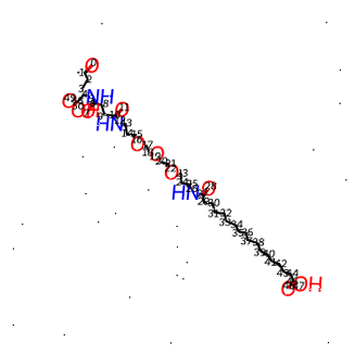 O=[C]CC[C@H](NC(=O)CCC(=O)NCCCOCCOCCOCCCNC(=O)CCCCCCCCCCCCCCCCC(=O)O)C(=O)O